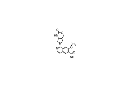 COc1cc2c(N3CC4COC(=O)NC4C3)nccc2cc1C(N)=O